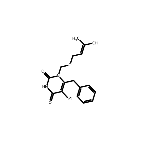 CC(C)=CCOCn1c(Cc2ccccc2)c(C(C)C)c(=O)[nH]c1=O